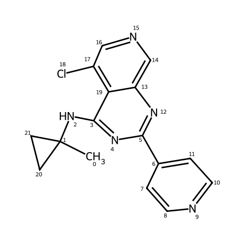 CC1(Nc2nc(-c3ccncc3)nc3cncc(Cl)c23)CC1